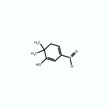 CC1(C)CC=C([N+](=O)[O-])C=C1O